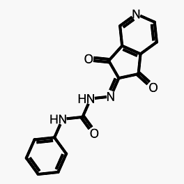 O=C(NN=c1c(=O)c2ccncc2c1=O)Nc1ccccc1